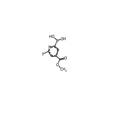 COC(=O)c1cc(F)nc(B(O)O)c1